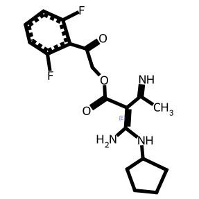 CC(=N)/C(C(=O)OCC(=O)c1c(F)cccc1F)=C(/N)NC1CCCC1